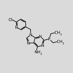 CCP(CC)c1nc(N)c2ncn(Cc3ccc(Cl)nc3)c2n1